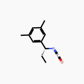 CC[C@@H](N=C=O)c1cc(C)cc(C)c1